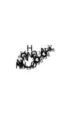 O=C1Nc2cccc(n2)-c2nncn2CCCOc2ccc(-c3ccc(C4CC4)nc3)cc21